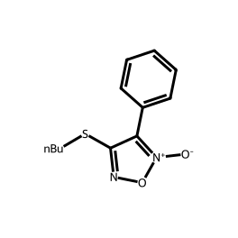 CCCCSc1no[n+]([O-])c1-c1ccccc1